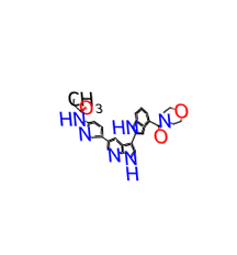 CCC(=O)Nc1ccc(-c2cnc3[nH]cc(-c4cc5c(C(=O)N6CCOCC6)cccc5[nH]4)c3c2)cn1